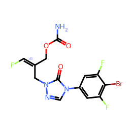 NC(=O)OC/C(=C/F)Cn1ncn(-c2cc(F)c(Br)c(F)c2)c1=O